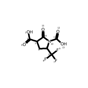 O=C(O)C1CC(C(F)(F)F)N(C(=O)O)C1=O